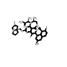 C#Cc1c(F)ccc2cc(O)cc(-c3nc4c5c(nc(OC[C@@]67CCCN6C[C@H](F)C7)nc5c3F)N([C@H](C)C(N)=O)[C@@H](C)CO4)c12